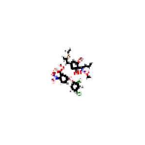 CCC/C(=N\OCC)C1=C(O)CC(CC(C)SCC)CC1=O.COC(=O)c1cc(Oc2ccc(Cl)cc2Cl)ccc1[N+](=O)[O-]